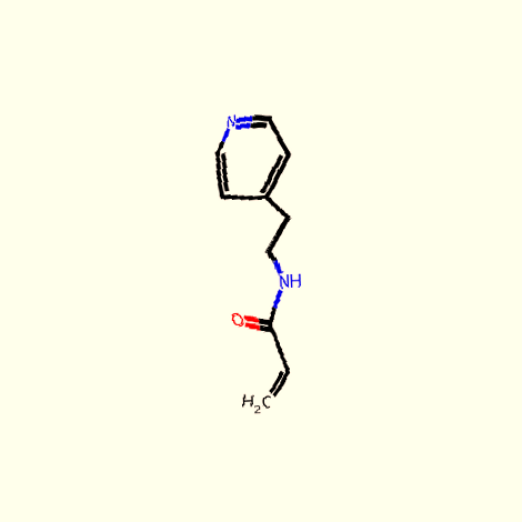 C=CC(=O)NCCc1ccncc1